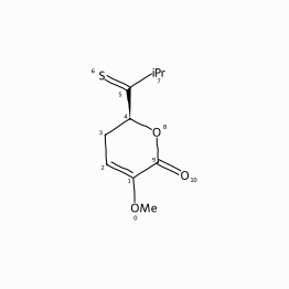 COC1=CC[C@@H](C(=S)C(C)C)OC1=O